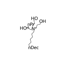 CCCCCCCCCCCCCCCC[N+](CCCO)(CCCO)C[C@@H](O)CCC